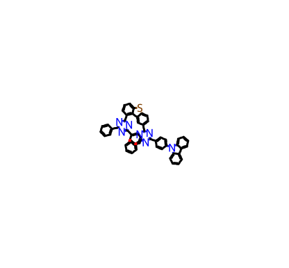 c1ccc(-c2nc(-c3ccc(-n4c5ccccc5c5ccccc54)cc3)nc(-c3ccc4sc5cccc(-c6nc(-c7ccccc7)nc(-c7ccccc7)n6)c5c4c3)n2)cc1